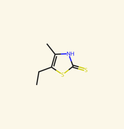 CCc1sc(=S)[nH]c1C